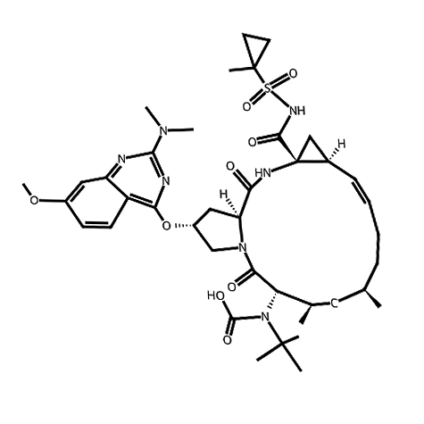 COc1ccc2c(O[C@@H]3C[C@H]4C(=O)N[C@]5(C(=O)NS(=O)(=O)C6(C)CC6)C[C@H]5C=CCC[C@@H](C)C[C@@H](C)[C@H](N(C(=O)O)C(C)(C)C)C(=O)N4C3)nc(N(C)C)nc2c1